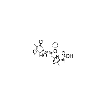 COc1cc([C@@H](O)C[C@H](Cc2nc([C@@H](C)C(=O)O)c(C)s2)OC2CCCC2)cc(OC)c1C